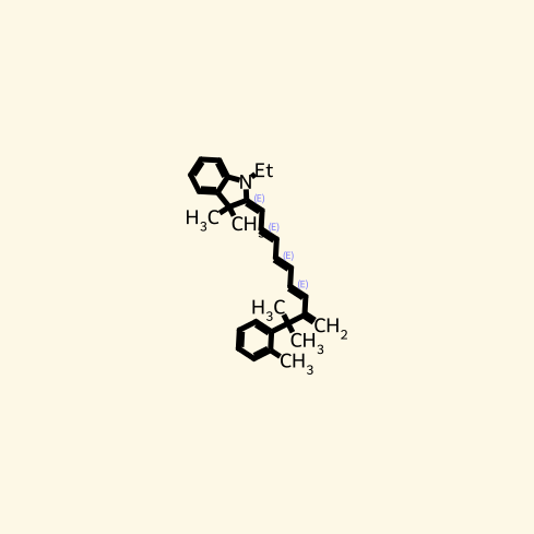 C=C(/C=C/C=C/C=C/C=C1/N(CC)c2ccccc2C1(C)C)C(C)(C)c1ccccc1C